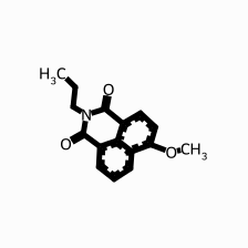 CCCN1C(=O)c2cccc3c(OC)ccc(c23)C1=O